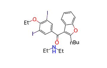 CCCCc1oc2ccccc2c1C(=O)c1cc(I)c(OCC)c(I)c1.CCNCC